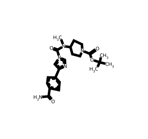 CN(C(=O)n1cnc(-c2ccc(C(N)=O)cc2)c1)C1CCN(C(=O)OC(C)(C)C)CC1